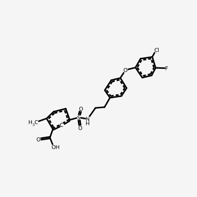 Cc1ccc(S(=O)(=O)NCCc2ccc(Oc3ccc(F)c(Cl)c3)cc2)cc1C(=O)O